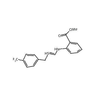 COC(=O)c1ccccc1NC=[SH]Cc1ccc(C(F)(F)F)cc1